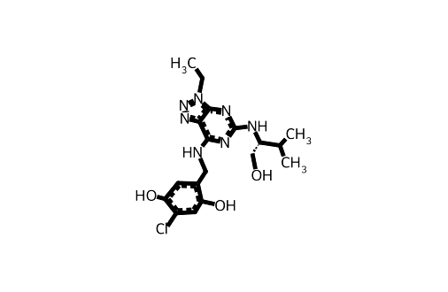 CCn1nnc2c(NCc3cc(O)c(Cl)cc3O)nc(N[C@@H](CO)C(C)C)nc21